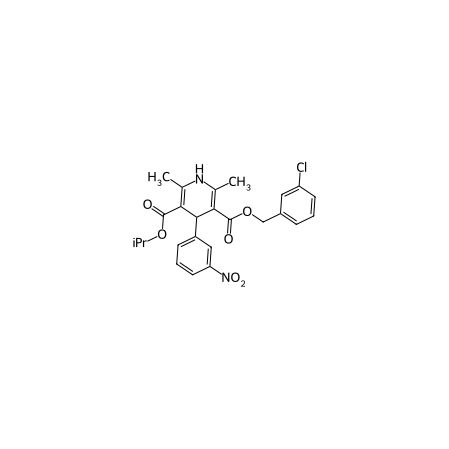 CC1=C(C(=O)OCc2cccc(Cl)c2)C(c2cccc([N+](=O)[O-])c2)C(C(=O)OC(C)C)=C(C)N1